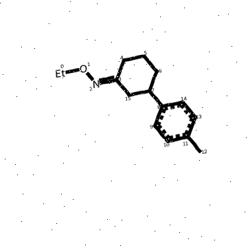 CCO/N=C1\CCCC(c2ccc(C)cc2)C1